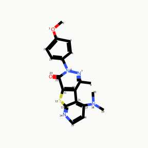 COc1ccc(-n2nc(C)c3c(sc4nccc(N(C)C)c43)c2=O)cc1